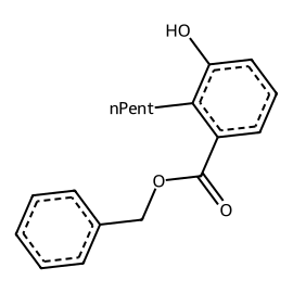 CCCCCc1c(O)cccc1C(=O)OCc1ccccc1